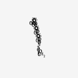 C=CC(=O)OCCCCOC(=O)Oc1ccc(C(=O)Oc2ccc(-c3nc4ccccc4c(=O)o3)cc2)cc1